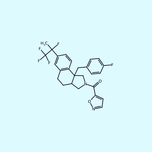 CC(F)(c1ccc2c(c1)CCC1CN(C(=O)c3ccno3)CC21Cc1ccc(F)cc1)C(F)(F)F